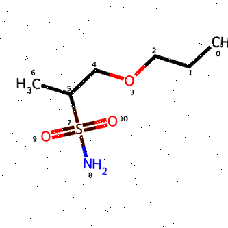 CCCOCC(C)S(N)(=O)=O